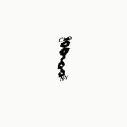 CCC[C@H]1CC[C@H]([C@H]2CC[C@H](CCc3ccc([C@H]4CC[C@H](C(=O)Cl)CC4)cc3)CC2)CC1